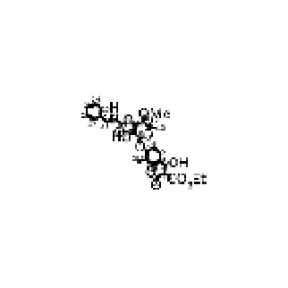 CCOC(=O)c1c(O)c2ccc(O[C@@H]3OC(C)(C)[C@H](OC)[C@H](OC(=O)NCc4ccccc4)[C@H]3O)c(C)c2oc1=O